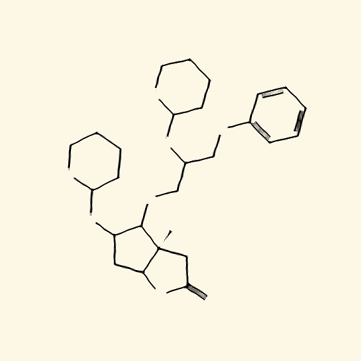 O=C1C[C@@H]2C(CC(OC3CCCCO3)C2OCC(COc2ccccc2)OC2CCCCO2)O1